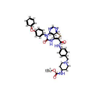 CC(C)(C)OC(=O)NC1CCN(Cc2ccc(NC(=O)c3sc4ncnc5c4c3NC(=O)N5c3ccc(Oc4ccccc4)cc3)cc2)CC1